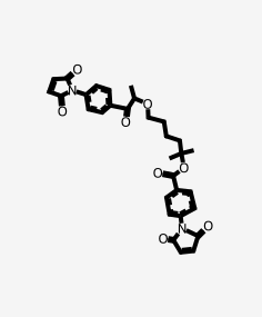 CC(OCCCCC(C)(C)OC(=O)c1ccc(N2C(=O)C=CC2=O)cc1)C(=O)c1ccc(N2C(=O)C=CC2=O)cc1